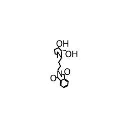 O=C1c2ccccc2C(=O)N1CCCCN1CC[C@@H](O)[C@H]1CO